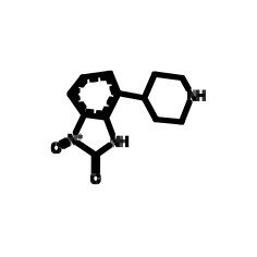 O=C1Nc2c(C3CCNCC3)cccc2[N+]1=O